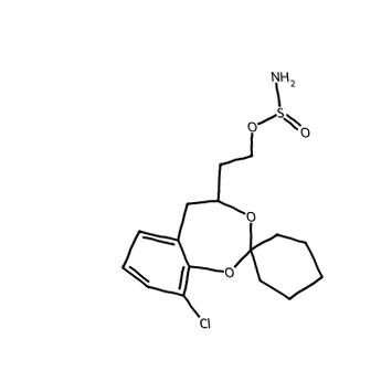 NS(=O)OCCC1Cc2cccc(Cl)c2OC2(CCCCC2)O1